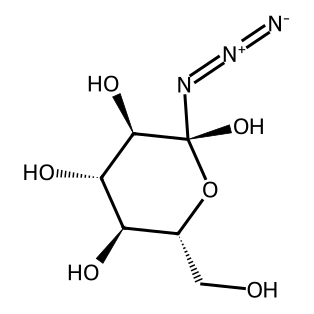 [N-]=[N+]=N[C@]1(O)O[C@H](CO)[C@@H](O)[C@H](O)[C@H]1O